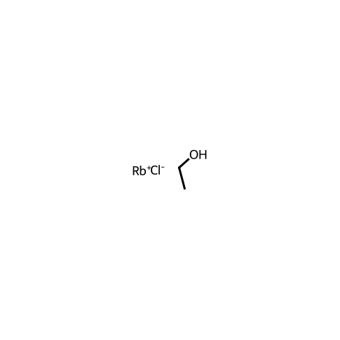 CCO.[Cl-].[Rb+]